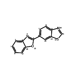 [c]1ccc2nc(-c3ccc4ncsc4c3)oc2c1